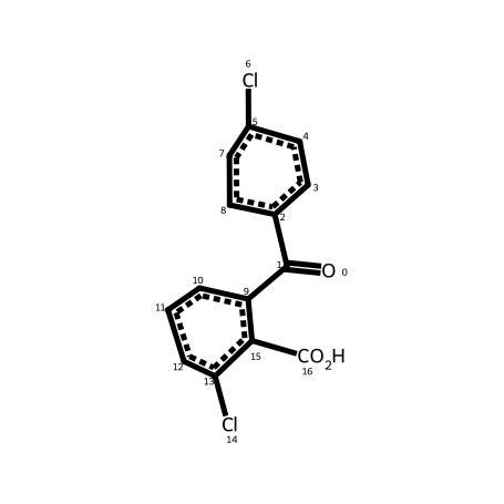 O=C(c1ccc(Cl)cc1)c1cccc(Cl)c1C(=O)O